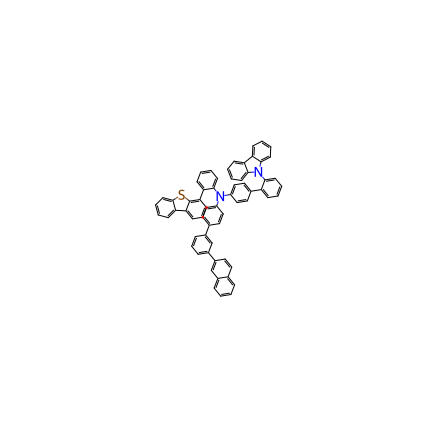 c1cc(-c2ccc(N(c3ccc(-c4ccccc4-n4c5ccccc5c5ccccc54)cc3)c3ccccc3-c3cccc4c3sc3ccccc34)cc2)cc(-c2ccc3ccccc3c2)c1